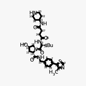 Cc1ncsc1-c1ccc(CNC(=O)[C@@H]2C[C@@H](O)CN2C(=O)[C@@H](NC(=O)CCC(=O)NC2CCNCC2)C(C)(C)C)cc1